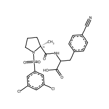 C[C@@]1(C(=O)NC(Cc2ccc(C#N)cc2)C(=O)O)CCCN1S(=O)(=O)c1cc(Cl)cc(Cl)c1